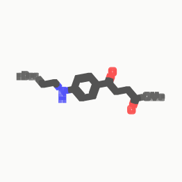 CCCCCCCCCCCCNc1ccc(C(=O)CCC(=O)OC)cc1